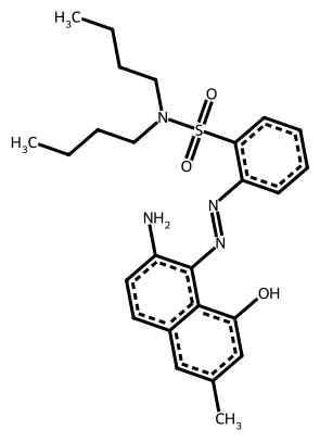 CCCCN(CCCC)S(=O)(=O)c1ccccc1/N=N/c1c(N)ccc2cc(C)cc(O)c12